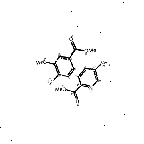 COC(=O)c1ccc(C)c(OC)c1.COC(=O)c1ccc(C)cn1